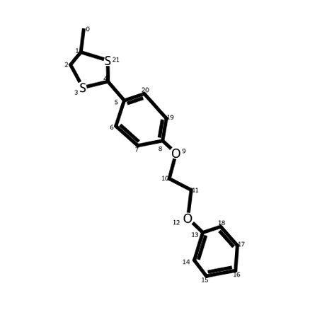 CC1CSC(c2ccc(OCCOc3ccccc3)cc2)S1